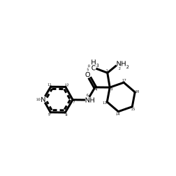 CC(N)C1(C(=O)Nc2ccncc2)CCCCC1